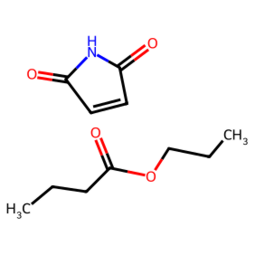 CCCOC(=O)CCC.O=C1C=CC(=O)N1